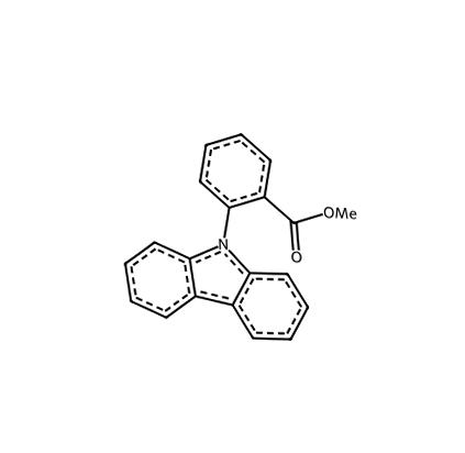 COC(=O)c1ccccc1-n1c2ccccc2c2ccccc21